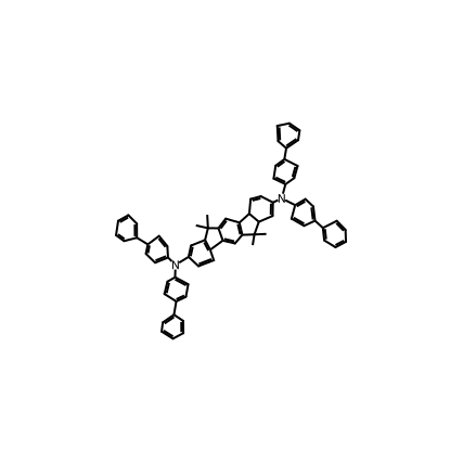 CC1(C)c2cc(N(c3ccc(-c4ccccc4)cc3)c3ccc(-c4ccccc4)cc3)ccc2-c2cc3c(cc21)C1C=CC(N(c2ccc(-c4ccccc4)cc2)c2ccc(-c4ccccc4)cc2)=CC1C3(C)C